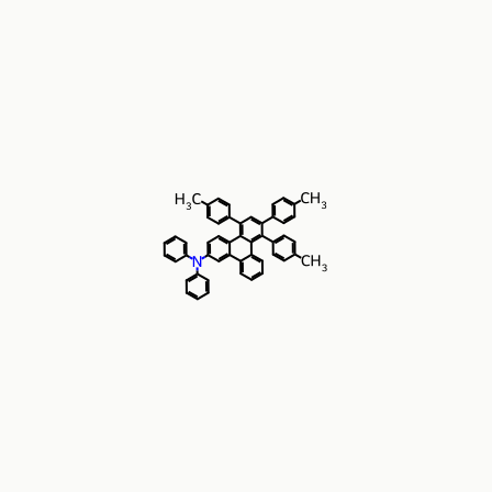 Cc1ccc(-c2cc(-c3ccc(C)cc3)c3c4ccc(N(c5ccccc5)c5ccccc5)cc4c4ccccc4c3c2-c2ccc(C)cc2)cc1